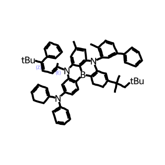 C/C(=C\C=C(/c1ccccc1)C(C)(C)C)N1c2cc(N(C3=CC=CCC3)c3ccccc3)ccc2B2C3=C(C=C(C(C)(C)CC(C)(C)C)CC3)N(c3cc(-c4ccccc4)ccc3C)c3cc(C)cc1c32